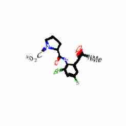 CNC(=O)c1cc(Br)cc(Br)c1NC(=O)C1CCCN1C(=O)O